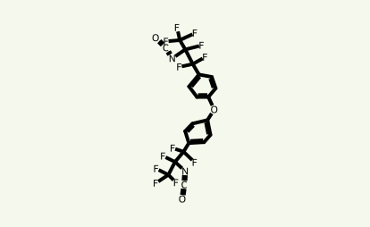 O=C=NC(F)(C(F)(F)F)C(F)(F)c1ccc(Oc2ccc(C(F)(F)C(F)(N=C=O)C(F)(F)F)cc2)cc1